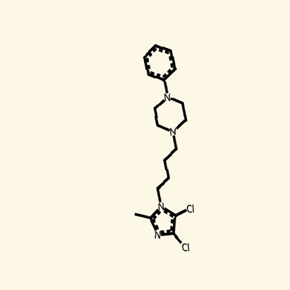 Cc1nc(Cl)c(Cl)n1CCCCN1CCN(c2ccccc2)CC1